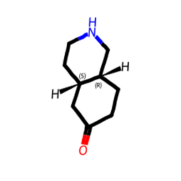 O=C1CC[C@H]2CNCC[C@H]2C1